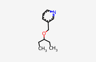 CCC(CC)OCc1cccnc1